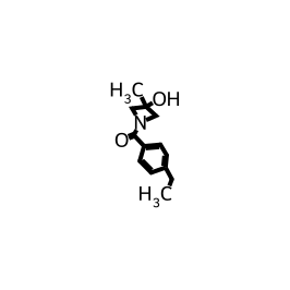 CCc1ccc(C(=O)N2CC(C)(O)C2)cc1